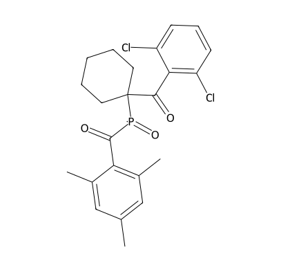 Cc1cc(C)c(C(=O)[P](=O)C2(C(=O)c3c(Cl)cccc3Cl)CCCCC2)c(C)c1